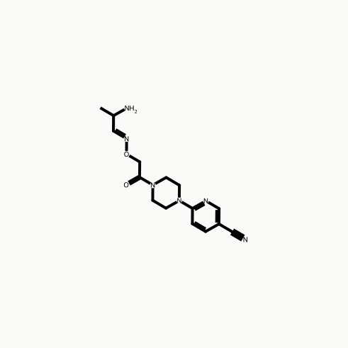 CC(N)/C=N/OCC(=O)N1CCN(c2ccc(C#N)cn2)CC1